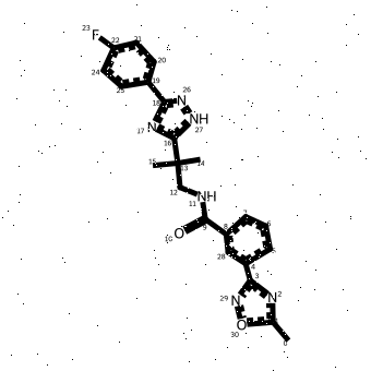 Cc1nc(-c2cccc(C(=O)NCC(C)(C)c3nc(-c4ccc(F)cc4)n[nH]3)c2)no1